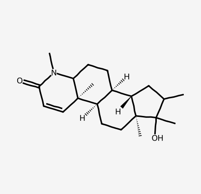 CC1C[C@H]2[C@@H]3CCC4N(C)C(=O)C=C[C@]4(C)[C@@H]3CC[C@]2(C)C1(C)O